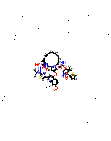 COc1ccc2c(O[C@@H]3C[C@H]4C(=O)N[C@]5(C(=O)O)CC5/C=C\CCCCC[C@H](NC(=O)O[C@H](CN(C)S(=O)(=O)c5cccs5)C(C)(C)C)C(=O)N4C3)cc(-c3csc(NC(C)C)n3)nc2c1